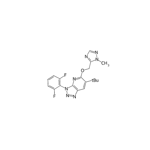 Cn1ncnc1COc1nc2c(cc1C(C)(C)C)nnn2-c1c(F)cccc1F